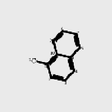 [O]c1cccc2[c]cccc12